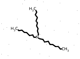 CCCCCCCCCCN(CCCCCCCC)CCCCCCCCCC